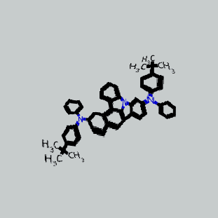 CC(C)(C)c1ccc(N(c2ccccc2)c2ccc3cc4c5ccc(N(c6ccccc6)c6ccc(C(C)(C)C)cc6)cc5n5c6ccccc6c(c3c2)c45)cc1